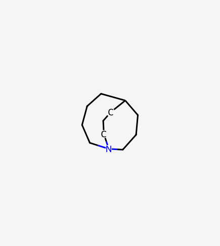 C1CCN2CCCC(C1)CCC2